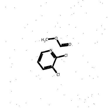 COC=O.Clc1cccnc1Cl